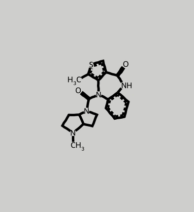 Cc1scc2c1N(C(=O)N1CCC3C1CCN3C)c1ccccc1NC2=O